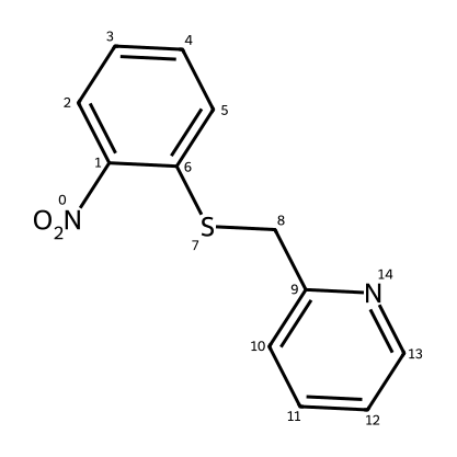 O=[N+]([O-])c1ccccc1SCc1ccccn1